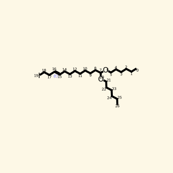 CCCCCCOC(CCCCCCC/C=C/CCI)OCCCCCC